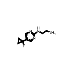 NCCNc1ncc(C2(F)CC2)cn1